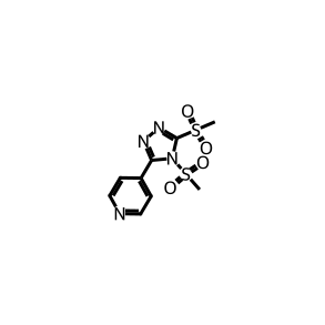 CS(=O)(=O)c1nnc(-c2ccncc2)n1S(C)(=O)=O